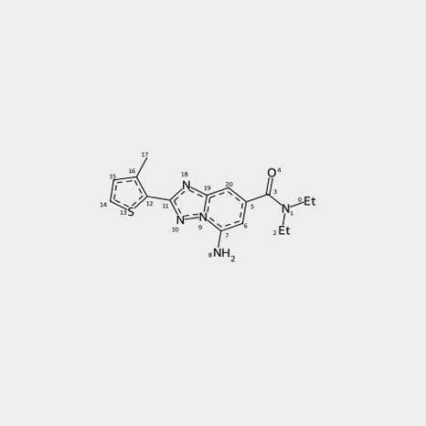 CCN(CC)C(=O)c1cc(N)n2nc(-c3sccc3C)nc2c1